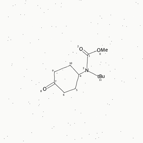 COC(=O)N(C1CCC(=O)CC1)C(C)(C)C